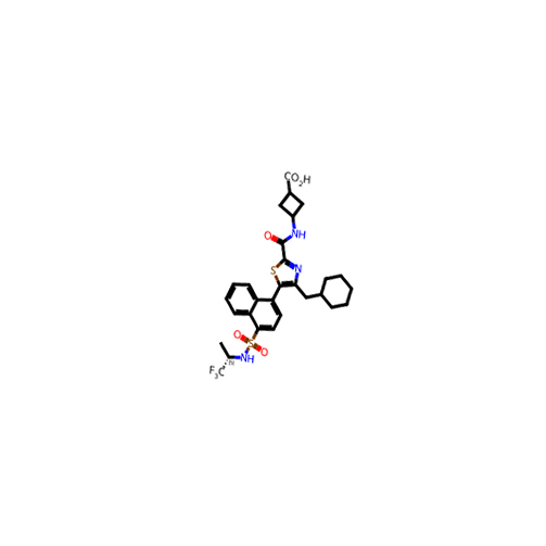 C[C@H](NS(=O)(=O)c1ccc(-c2sc(C(=O)NC3CC(C(=O)O)C3)nc2CC2CCCCC2)c2ccccc12)C(F)(F)F